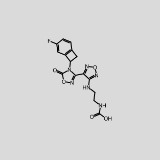 O=C(O)NCCNc1nonc1-c1noc(=O)n1C1Cc2ccc(F)cc21